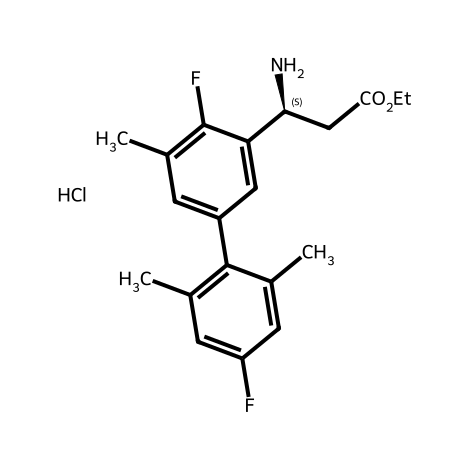 CCOC(=O)C[C@H](N)c1cc(-c2c(C)cc(F)cc2C)cc(C)c1F.Cl